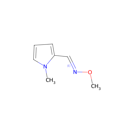 CO/N=C/c1cccn1C